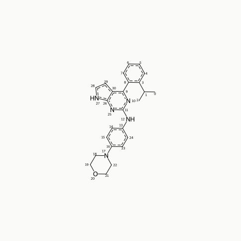 CC(C)c1ccccc1-c1nc(Nc2ccc(N3CCOCC3)cc2)nc2[nH]ccc12